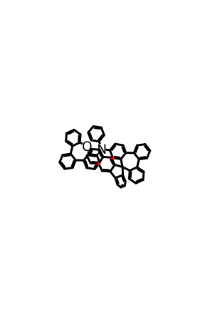 c1ccc(N(c2ccc3c(c2)C2(c4ccccc4-c4ccccc4-3)c3ccccc3-c3cc4ccccc4cc32)c2cccc3c2Oc2ccccc2-c2ccccc2-3)cc1